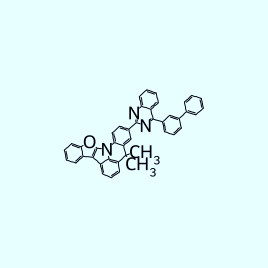 CC1(C)c2cc(-c3nc(-c4cccc(-c5ccccc5)c4)c4ccccc4n3)ccc2-n2c3oc4ccccc4c3c3cccc1c32